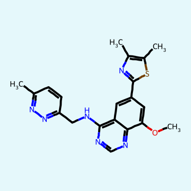 COc1cc(-c2nc(C)c(C)s2)cc2c(NCc3ccc(C)nn3)ncnc12